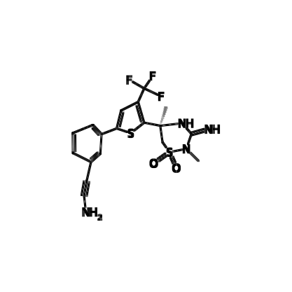 CN1C(=N)N[C@](C)(c2sc(-c3cccc(C#CN)c3)cc2C(F)(F)F)CS1(=O)=O